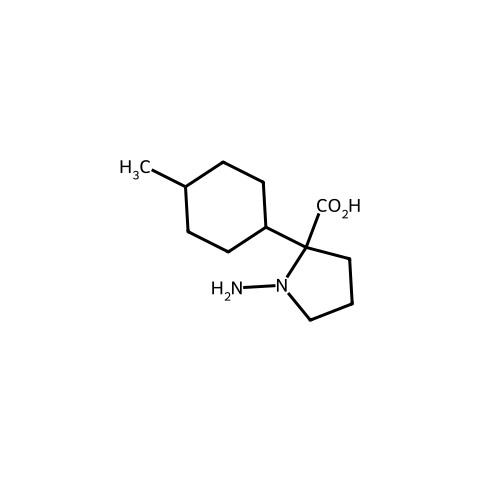 CC1CCC(C2(C(=O)O)CCCN2N)CC1